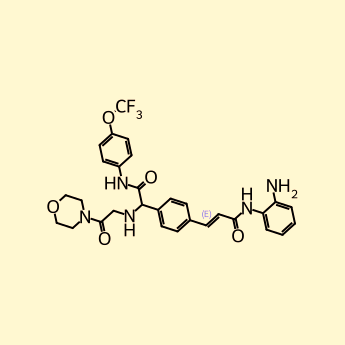 Nc1ccccc1NC(=O)/C=C/c1ccc(C(NCC(=O)N2CCOCC2)C(=O)Nc2ccc(OC(F)(F)F)cc2)cc1